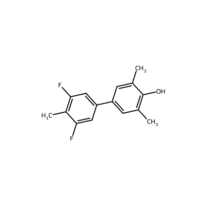 Cc1cc(-c2cc(F)c(C)c(F)c2)cc(C)c1O